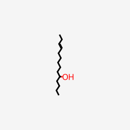 CCC=CCCCCCC(O)CCCC